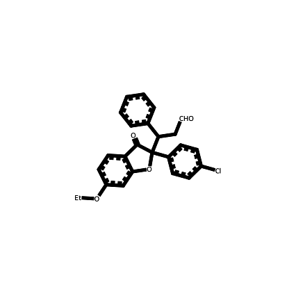 CCOc1ccc2c(c1)OC(c1ccc(Cl)cc1)(C(CC=O)c1ccccc1)C2=O